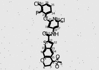 CS(=O)(=O)C1CCOc2cc3sc(C(=O)Nc4cc(Cl)nc(Oc5cccc(Cl)c5F)c4)cc3cc21